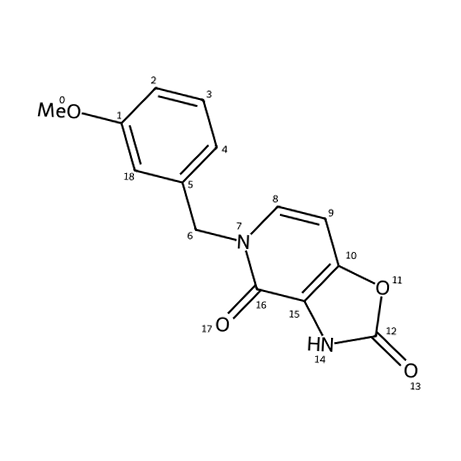 COc1cccc(Cn2ccc3oc(=O)[nH]c3c2=O)c1